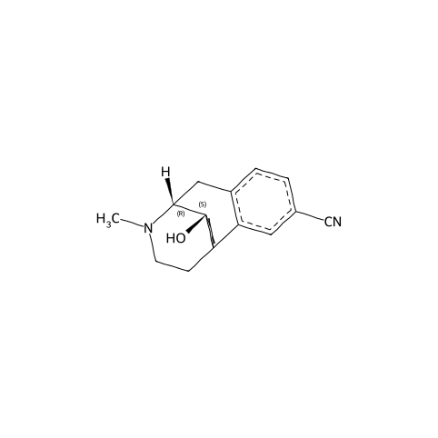 CN1CCC23CCCC[C@@]2(O)[C@H]1Cc1ccc(C#N)cc13